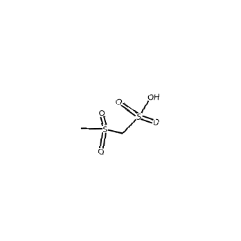 CS(=O)(=O)CS(=O)(=O)O